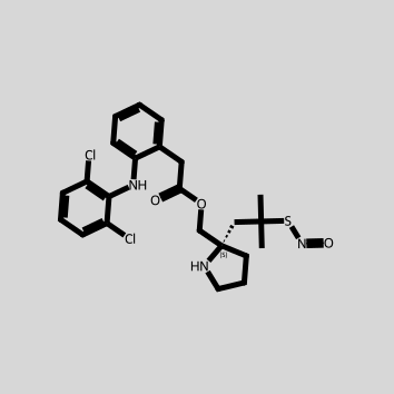 CC(C)(C[C@]1(COC(=O)Cc2ccccc2Nc2c(Cl)cccc2Cl)CCCN1)SN=O